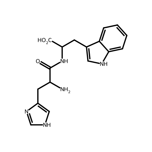 NC(Cc1c[nH]cn1)C(=O)NC(Cc1c[nH]c2ccccc12)C(=O)O